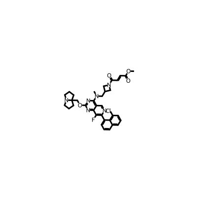 COC(=O)/C=C/C(=O)N1CC(CN(C)c2nc(OCC34CCCN3CCC4)nc3c(F)c(-c4cccc5cccc(Cl)c45)ncc23)C1